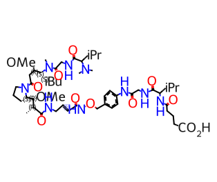 CC[C@H](C)[C@@H]([C@@H](CC(=O)N1CCC[C@H]1[C@H](OC)[C@@H](C)C(=O)NC/C=C/C(=O)NOCc1ccc(NC(=O)CNC(=O)C(NC(=O)CCCC(=O)O)C(C)C)cc1)OC)N(C)C(=O)CNC(=O)C(C(C)C)N(C)C